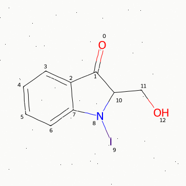 O=C1c2ccccc2N(I)C1CO